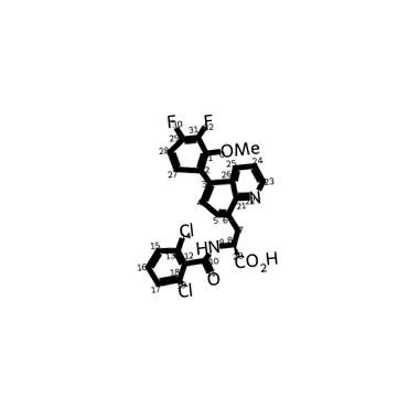 COc1c(-c2ccc(C[C@H](NC(=O)c3c(Cl)cccc3Cl)C(=O)O)c3ncccc23)ccc(F)c1F